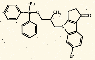 CC(CO[Si](c1ccccc1)(c1ccccc1)C(C)(C)C)Cn1c2c(c3ccc(Br)cc31)C(=O)CC2